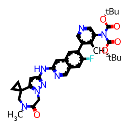 Cc1c(-c2cc3cc(Nc4cc5n(n4)CC(=O)N(C)CC54CC4)ncc3cc2F)cncc1N(C(=O)OC(C)(C)C)C(=O)OC(C)(C)C